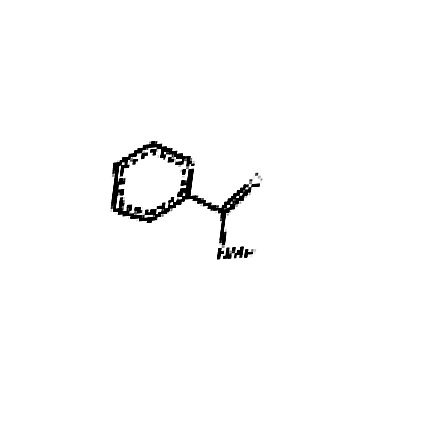 C[N]C(=O)c1ccccn1